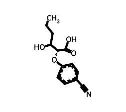 CCCC(O)[C@@H](Oc1ccc(C#N)cc1)C(=O)O